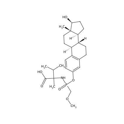 COCP(=O)(NC(C)(C(=O)O)C(C)C)Oc1ccc2c(c1)CC[C@@H]1[C@@H]2CC[C@]2(C)[C@@H](O)CC[C@@H]12